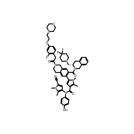 Cc1c(N(C(=O)c2cc(-c3cc4c(cc3C(=O)N3Cc5ccccc5C[C@H]3CN3CCC(F)(F)CC3)CN(C(=O)Cc3ccc(OCCN5CCOCC5)cc3F)CC4)n(C)c2C)c2ccc(O)cc2)cc(C#N)n1C